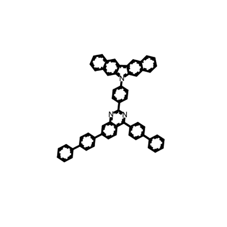 c1ccc(-c2ccc(-c3ccc4c(-c5ccc(-c6ccccc6)cc5)nc(-c5ccc(-n6c7cc8ccccc8cc7c7cc8ccccc8cc76)cc5)nc4c3)cc2)cc1